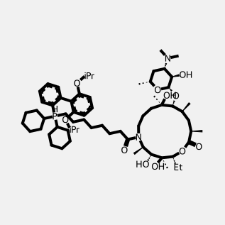 CC[C@H]1OC(=O)[C@H](C)C[C@H](C)[C@@H](O[C@@H]2O[C@H](C)C[C@H](N(C)C)[C@H]2O)[C@](C)(O)CCCN(C(=O)CCCCCCC[PH](c2ccccc2-c2c(OC(C)C)cccc2OC(C)C)(C2CCCCC2)C2CCCCC2)[C@H](C)[C@@H](O)[C@]1(C)O